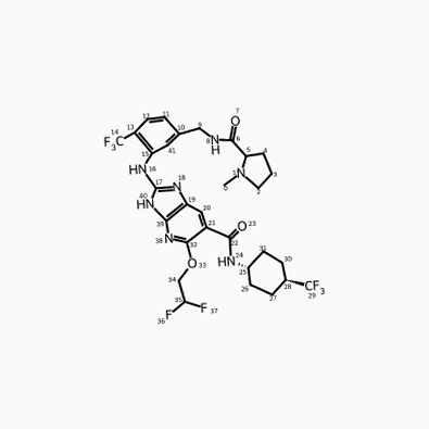 CN1CCCC1C(=O)NCc1ccc(C(F)(F)F)c(Nc2nc3cc(C(=O)N[C@H]4CC[C@H](C(F)(F)F)CC4)c(OCC(F)F)nc3[nH]2)c1